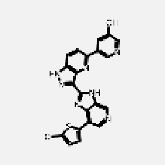 Oc1cncc(-c2ccc3[nH]nc(-c4nc5c(-c6ccc(Cl)s6)cncc5[nH]4)c3n2)c1